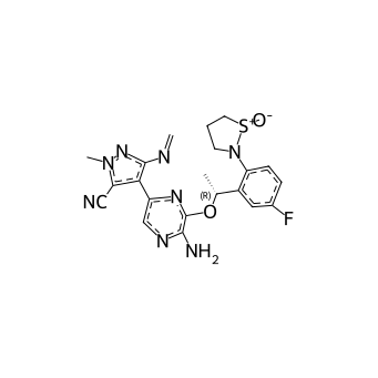 C=Nc1nn(C)c(C#N)c1-c1cnc(N)c(O[C@H](C)c2cc(F)ccc2N2CCC[S+]2[O-])n1